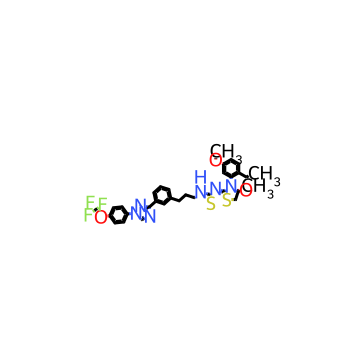 COc1ccc(C(C)C)c(N2C(=O)CS/C2=N\C(=S)NCCCc2cccc(-c3ncn(-c4ccc(OC(F)(F)F)cc4)n3)c2)c1